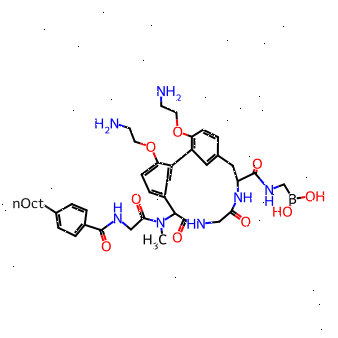 CCCCCCCCc1ccc(C(=O)NCC(=O)N(C)C2C(=O)NCC(=O)NC(C(=O)NCB(O)O)Cc3ccc(OCCN)c(c3)-c3cc2ccc3OCCN)cc1